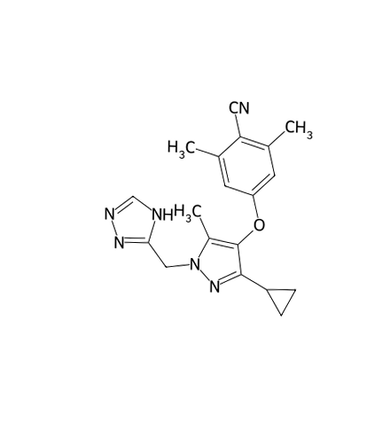 Cc1cc(Oc2c(C3CC3)nn(Cc3nnc[nH]3)c2C)cc(C)c1C#N